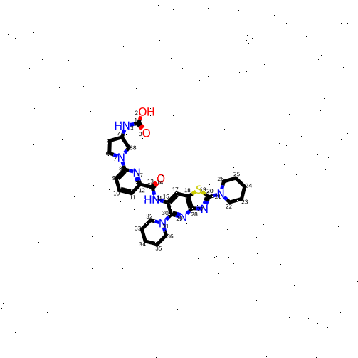 O=C(O)NC1CCN(c2cccc(C(=O)Nc3cc4sc(N5CCCCC5)nc4nc3N3CCCCC3)n2)C1